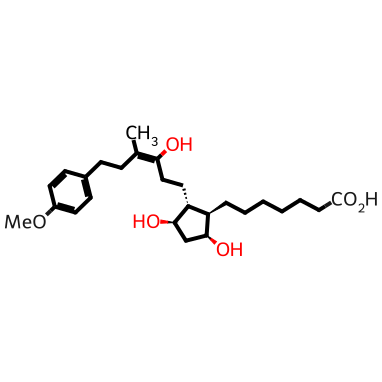 COc1ccc(CC/C(C)=C(/O)CC[C@@H]2[C@@H](CCCCCCC(=O)O)[C@@H](O)C[C@H]2O)cc1